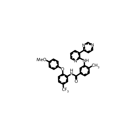 COc1ccc(Oc2ccc(C(F)(F)F)cc2NC(=O)c2ccc(C)c(Nc3ncccc3-c3ccncn3)c2)cc1